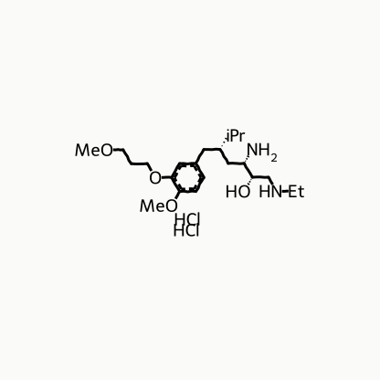 CCNC[C@H](O)[C@@H](N)C[C@H](Cc1ccc(OC)c(OCCCOC)c1)C(C)C.Cl.Cl